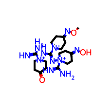 CON=C1CC[N+](C(=N[N+]2(C(=N)N)CCC(=NO)CC2)N[N+]2(C(=N)N)CCC(=O)CC2)CC1